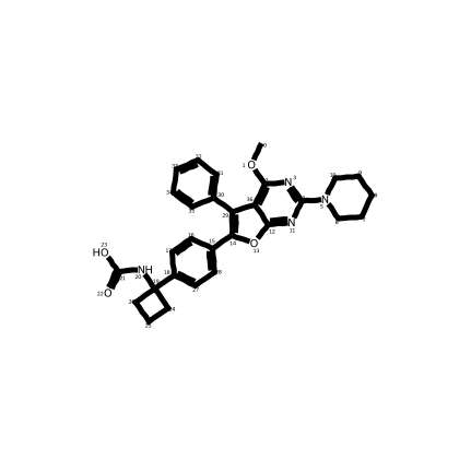 COc1nc(N2CCCCC2)nc2oc(-c3ccc(C4(NC(=O)O)CCC4)cc3)c(-c3ccccc3)c12